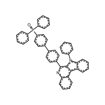 O=P(c1ccccc1)(c1ccccc1)c1ccc(-c2ccc(-c3nc4ccccc4c4c5ccccc5n(-c5ccccc5)c34)cc2)cc1